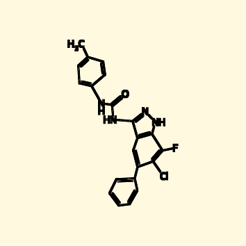 Cc1ccc(NC(=O)Nc2n[nH]c3c(F)c(Cl)c(-c4ccccc4)cc23)cc1